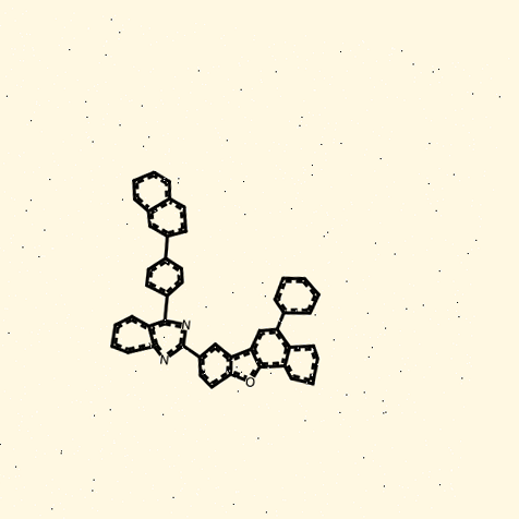 c1ccc(-c2cc3c4cc(-c5nc(-c6ccc(-c7ccc8ccccc8c7)cc6)c6ccccc6n5)ccc4oc3c3ccccc23)cc1